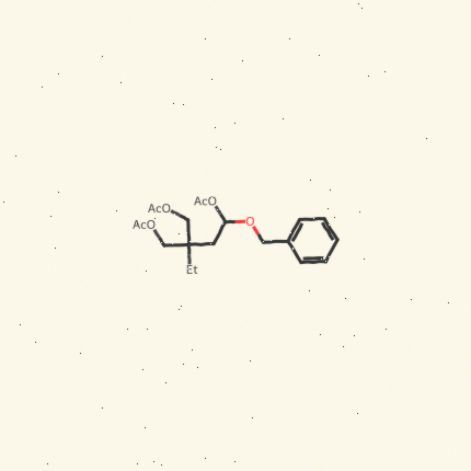 CCC(COC(C)=O)(COC(C)=O)CC(OCc1ccccc1)OC(C)=O